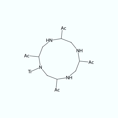 CC(=O)C1CNC(C(C)=O)C[N]([Ti])C(C(C)=O)CNC(C(C)=O)CN1